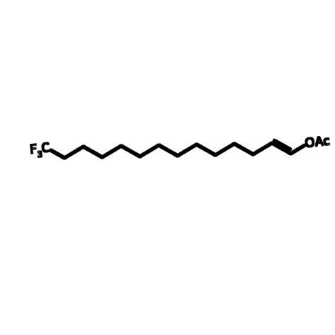 CC(=O)O/C=C/CCCCCCCCCCCC(F)(F)F